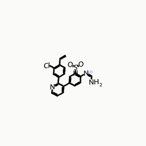 C=Cc1ccc(-c2ncccc2-c2ccc(/N=C\N)c([SH](=O)=O)c2)cc1Cl